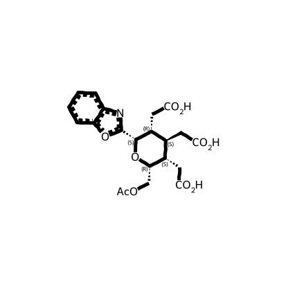 CC(=O)OC[C@@H]1O[C@H](c2nc3ccccc3o2)[C@H](CC(=O)O)[C@@H](CC(=O)O)[C@@H]1CC(=O)O